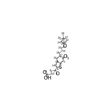 COc1cc2sc(C(=O)CCC(=O)O)cc2cc1CCCO[Si](C)(C)C(C)(C)C